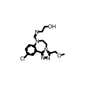 COCc1nnc2n1CCN(/C=N\CCO)c1ccc(Cl)cc1-2